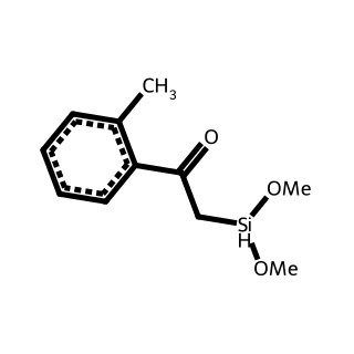 CO[SiH](CC(=O)c1ccccc1C)OC